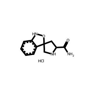 Cl.NC(=O)C1CC2(CN1)ONc1ccccc12